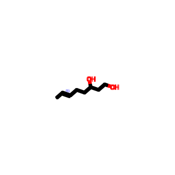 C/C=C/CCC(O)CCO